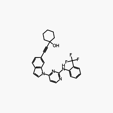 OC1(C#Cc2ccc3ccn(-c4ccnc(Nc5ccccc5C(F)(F)F)n4)c3c2)CCCCC1